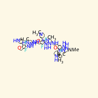 CNC1CC(C)NC(Nc2cc3c(c(C4=C[C@H](C)NCCC4)c2F)OC(CNC2CC(C)NC(Nc4c(F)c5c(c(C6=CCN(C)CCC6)c4F)OC(CNC4CC(C)NC(Nc6c(F)c7c(c(C8=CCNCCC8)c6F)OCC7)N4)C5)N2)C3)N1